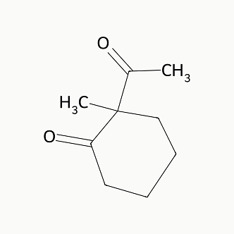 CC(=O)C1(C)CCCCC1=O